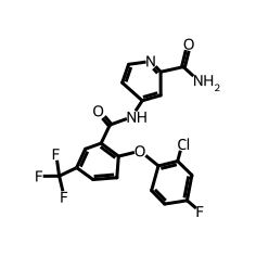 NC(=O)c1cc(NC(=O)c2cc(C(F)(F)F)ccc2Oc2ccc(F)cc2Cl)ccn1